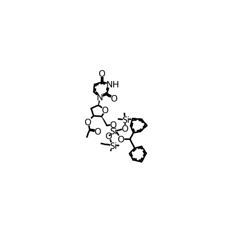 CC(=O)OC1C[C@@H](n2ccc(=O)[nH]c2=O)O[C@H]1CO[Si](OC(c1ccccc1)c1ccccc1)(O[Si](C)(C)C)O[Si](C)(C)C